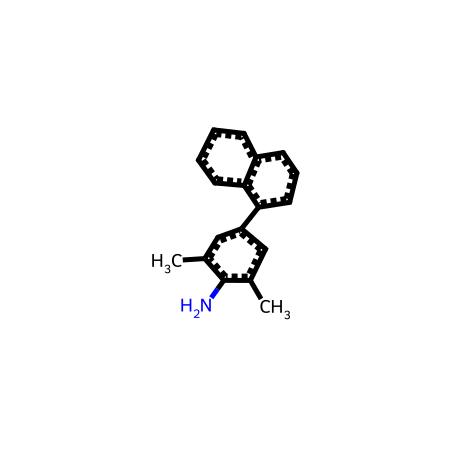 Cc1cc(-c2cccc3ccccc23)cc(C)c1N